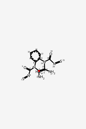 N=C(N)N(C(=O)N=S)c1ccccc1N(C(=N)N)C(=O)N=S